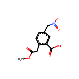 COC(=O)Cc1ccc(C[N+](=O)[O-])cc1C(=O)O